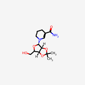 CC1(C)O[C@@H]2[C@H](O1)C(CO)O[C@H]2N1C=C(C(N)=O)CCC1